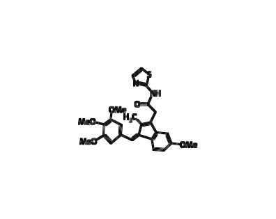 COc1ccc2c(c1)C(CC(=O)Nc1nccs1)=C(C)C2=Cc1cc(OC)c(OC)c(OC)c1